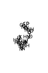 CCC1C(=O)N(C)c2cnc(Nc3ccc(C(=O)NCCCn4cc(Nc5nc(N6C[C@@H](F)[C@H](NC(=O)OC(C)(C)C)C6)nc6c5ncn6C)c(OC)n4)cc3OC)nc2N1C1CCCC1